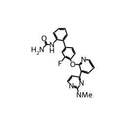 CNc1nccc(-c2cccnc2Oc2ccc(-c3ccccc3NC(N)=O)cc2F)n1